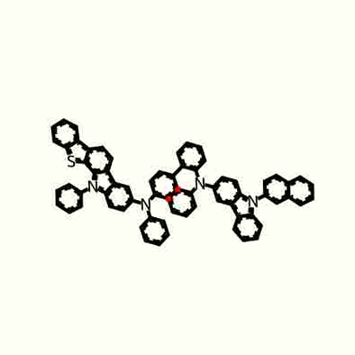 c1ccc(N(c2ccc(-c3ccccc3N(c3ccccc3)c3ccc4c(c3)c3ccccc3n4-c3ccc4ccccc4c3)cc2)c2ccc3c(c2)c2ccc4c5ccccc5sc4c2n3-c2ccccc2)cc1